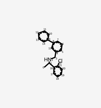 CC(NCc1cccc(-c2ccccc2)c1)c1ccccc1Cl